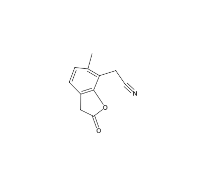 Cc1ccc2c(c1CC#N)OC(=O)C2